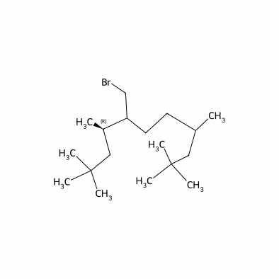 CC(CCC(CBr)[C@H](C)CC(C)(C)C)CC(C)(C)C